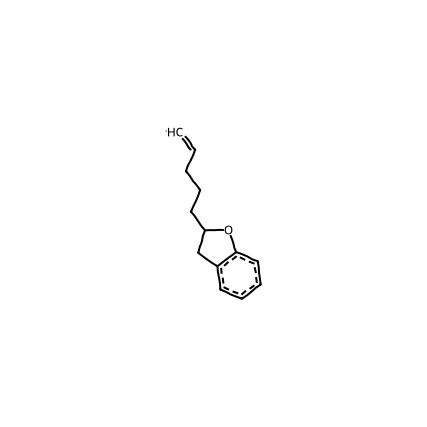 [CH]=CCCCC1Cc2ccccc2O1